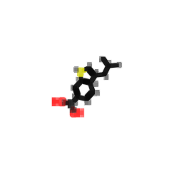 CC(C)Cc1csc2cc(B(O)O)ccc12